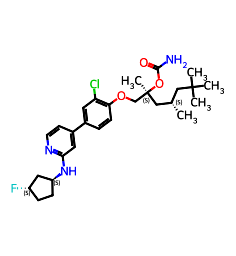 C[C@@H](CC(C)(C)C)C[C@@](C)(COc1ccc(-c2ccnc(N[C@H]3CC[C@H](F)C3)c2)cc1Cl)OC(N)=O